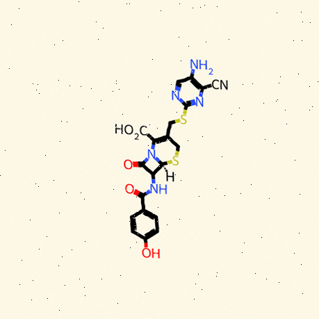 N#Cc1nc(SCC2=C(C(=O)O)N3C(=O)C(NC(=O)c4ccc(O)cc4)[C@@H]3SC2)ncc1N